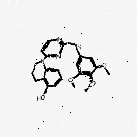 COc1cc(Nc2nccc(N3CCCc4c(O)cccc43)n2)cc(OC)c1OC